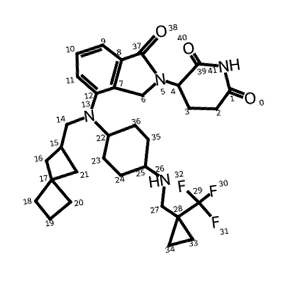 O=C1CCC(N2Cc3c(cccc3N(CC3CC4(CCC4)C3)C3CCC(NCC4(C(F)(F)F)CC4)CC3)C2=O)C(=O)N1